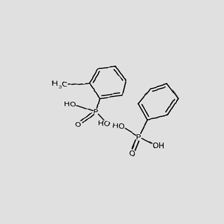 Cc1ccccc1P(=O)(O)O.O=P(O)(O)c1ccccc1